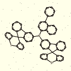 c1ccc(-c2ccc(N(c3ccc4c(c3)-c3ccccc3C43c4ccccc4Sc4ccccc43)c3ccc4c(c3)-c3ccccc3C43c4ccccc4Sc4ccccc43)c3ccccc23)cc1